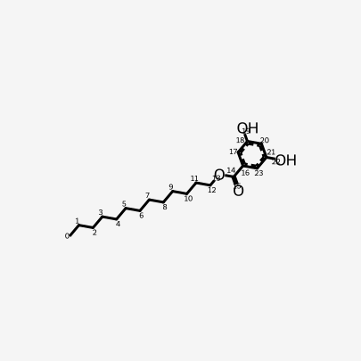 CCCCCCCCCCCCCOC(=O)c1cc(O)cc(O)c1